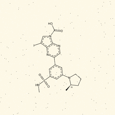 CNS(=O)(=O)c1cc(-c2cnc3c(n2)c(I)cn3C(=O)O)cc(N2CCC[C@H]2C)c1